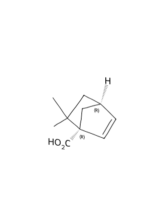 CC1(C)C[C@H]2C=C[C@]1(C(=O)O)C2